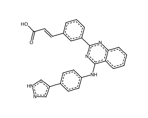 O=C(O)C=Cc1cccc(-c2nc(Nc3ccc(-c4cn[nH]c4)cc3)c3ccccc3n2)c1